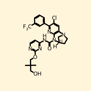 CC(C)(CO)COc1nccc(NC(=O)N2c3nc(-c4cccc(C(F)(F)F)c4)c(Cl)cc3N3CC[C@H]2C3)n1